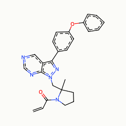 C=CC(=O)N1CCCC1(C)Cn1nc(-c2ccc(Oc3ccccc3)cc2)c2cncnc21